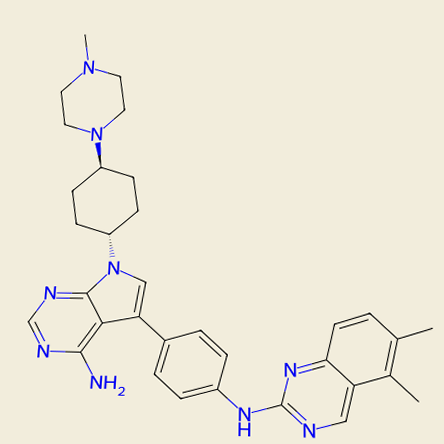 Cc1ccc2nc(Nc3ccc(-c4cn([C@H]5CC[C@H](N6CCN(C)CC6)CC5)c5ncnc(N)c45)cc3)ncc2c1C